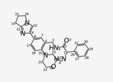 NC(C(=O)NCc1cc(-c2cn3c(n2)CCC3)ccc1N1CCOCC1)c1ccccc1